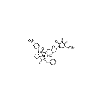 O=C(OCc1ccccc1)C1(NP(=O)(OC[C@H]2O[C@@H](n3cc(/C=C/Br)c(=O)[nH]c3=O)CC2O)Oc2ccc([N+](=O)[O-])cc2)CCCC1